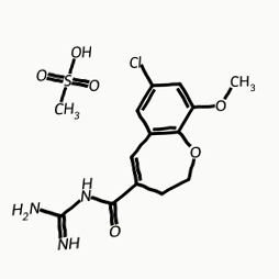 COc1cc(Cl)cc2c1OCCC(C(=O)NC(=N)N)=C2.CS(=O)(=O)O